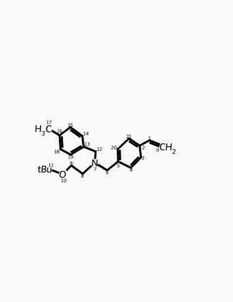 C=Cc1ccc(CN(CCOC(C)(C)C)Cc2ccc(C)cc2)cc1